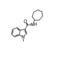 Cn1cc(C(=O)NC2CCCCCC2)c2ccccc21